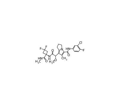 CNC(=O)C1(NC(=O)C(OC)c2c(C)c(C(=O)Nc3ccc(F)c(Cl)c3)n3c2CCC3)CC(F)(F)C1